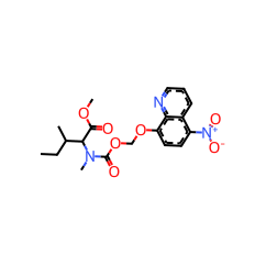 CCC(C)C(C(=O)OC)N(C)C(=O)OCOc1ccc([N+](=O)[O-])c2cccnc12